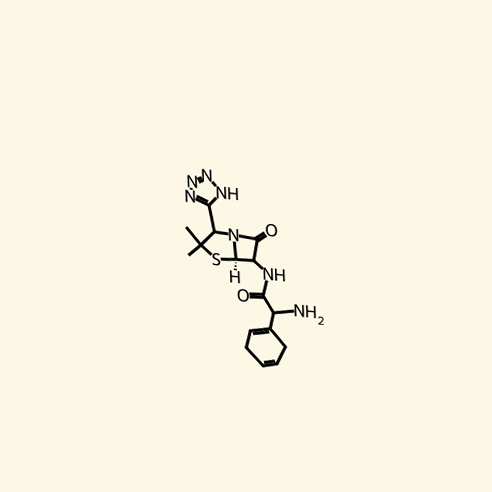 CC1(C)S[C@@H]2C(NC(=O)C(N)C3=CCC=CC3)C(=O)N2C1c1nnn[nH]1